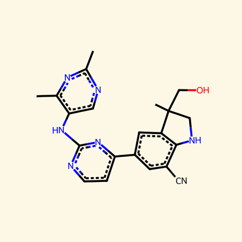 Cc1ncc(Nc2nccc(-c3cc(C#N)c4c(c3)C(C)(CO)CN4)n2)c(C)n1